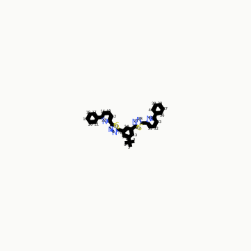 CC(C)(C)c1cc(-c2nnc(-c3cccc(-c4ccccc4)n3)s2)cc(-c2nnc(-c3cccc(-c4ccccc4)n3)s2)c1